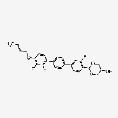 C/C=C/COc1ccc(-c2ccc(-c3ccc(C4OCC(O)CO4)c(F)c3)cc2)c(F)c1F